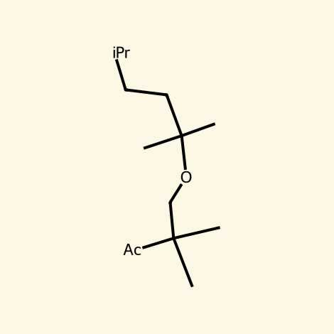 CC(=O)C(C)(C)COC(C)(C)CCC(C)C